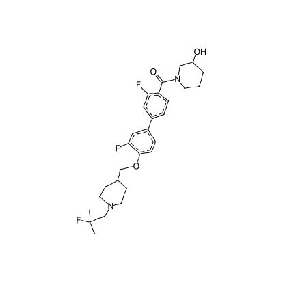 CC(C)(F)CN1CCC(COc2ccc(-c3ccc(C(=O)N4CCCC(O)C4)c(F)c3)cc2F)CC1